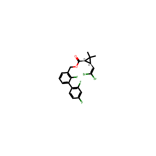 CC1(C)[C@H](C(=O)OCc2cccc(-c3ccc(F)cc3F)c2F)[C@@H]1C=C(Br)Br